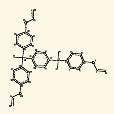 C=COc1ccc(C(C)(C)c2ccc(C(C)(c3ccc(OC=C)cc3)c3ccc(OC=C)cc3)cc2)cc1